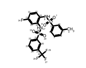 Cc1cccc(S(=O)(=O)Nc2ccc(F)cc2NS(=O)(=O)c2cccc(C(F)(F)F)c2)c1